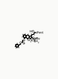 CCCCCC(O)CCC1C2Cc3cccc(OCC(=O)OCc4ccccc4)c3CC2C[C@@H]1O[Si](C)(C)C(C)(C)C